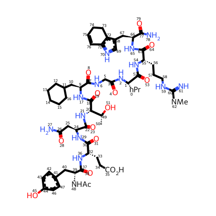 CCC[C@H](NC(=O)CNC(=O)[C@H](CC1CCCCC1)NC(=O)[C@@H](NC(=O)[C@H](CC(N)=O)NC(=O)[C@H](CCC(=O)O)NC(=O)[C@@H](Cc1ccc(O)cc1)NC(C)=O)[C@@H](C)O)C(=O)N[C@@H](CCCNC(=N)NC)C(=O)N[C@@H](Cc1c[nH]c2c1CCC=C2)C(N)=O